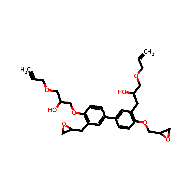 C=CCOCC(O)COc1ccc(-c2ccc(OCC3CO3)c(CC(O)COCC=C)c2)cc1CC1CO1